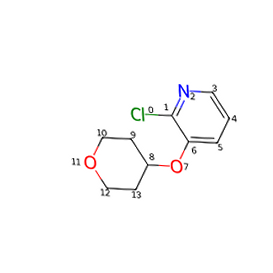 Clc1ncccc1OC1CCOCC1